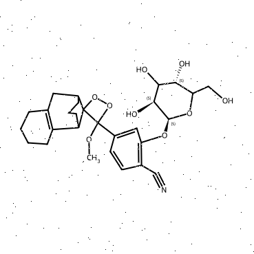 COC1(c2ccc(C#N)c(O[C@@H]3OC(CO)[C@@H](O)C(O)[C@@H]3O)c2)OOC12C1CCCC2C2=C(CCCC2)C1